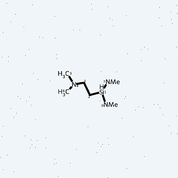 CN[SiH](CCN(C)C)NC